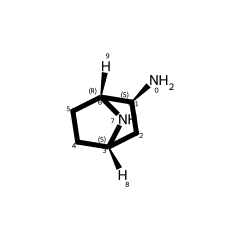 N[C@H]1C[C@@H]2CC[C@H]1N2